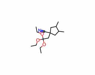 CCOC(CC1(C#N)CC(C)C(C)C1)(OCC)OCC